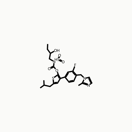 CCC(O)CN(C(=O)Oc1sc(CC(C)C)cc1-c1ccc(Cn2ccnc2C)c(F)c1)[SH](=O)=O